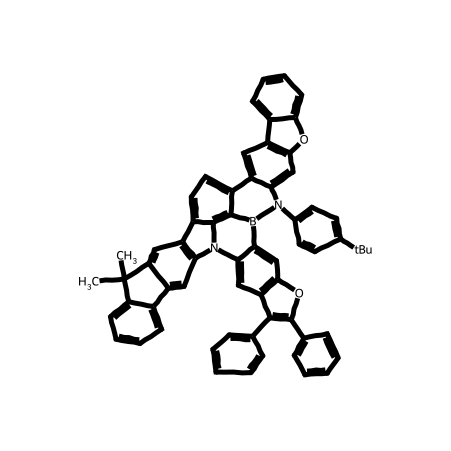 CC(C)(C)c1ccc(N2B3c4cc5oc(-c6ccccc6)c(-c6ccccc6)c5cc4-n4c5cc6c(cc5c5ccc(c3c54)-c3cc4c(cc32)oc2ccccc24)C(C)(C)c2ccccc2-6)cc1